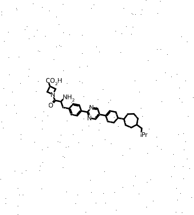 CC(C)CC1CCCC(C2CC=C(c3cnc(-c4ccc(CC(N)C(=O)N5CC(C(=O)O)C5)cc4)nc3)CC2)CC1